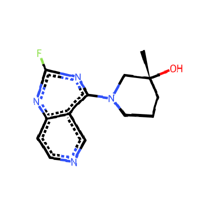 C[C@@]1(O)CCCN(c2nc(F)nc3ccncc23)C1